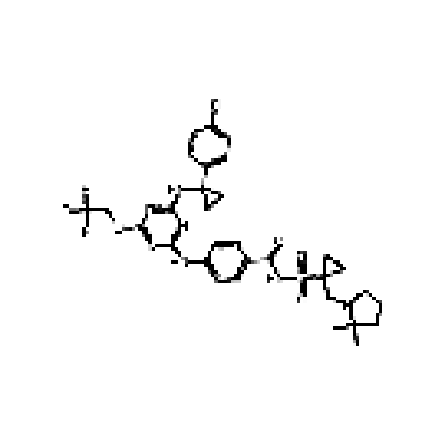 CC1(C)CCCN1CC1(S(=O)(=O)NC(=O)c2ccc(Nc3nc(NC4(c5ccc(Cl)cc5)CC4)nc(OCC(F)(F)F)n3)cc2)CC1